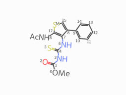 COC(=O)NC(=S)Nc1c(-c2ccccc2)csc1NC(C)=O